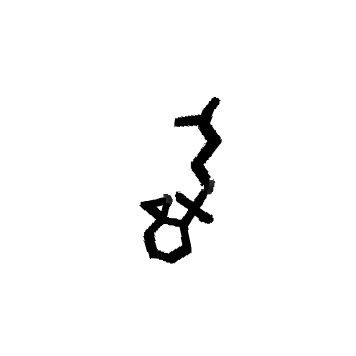 CC(C)=CCOC(C)(C)C1CCCCC12CO2